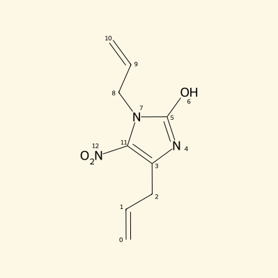 C=CCc1nc(O)n(CC=C)c1[N+](=O)[O-]